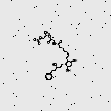 CC(CO[N+](=O)[O-])OC(=O)CNC(=O)CCC/C=C\C[C@@H]1[C@@H](CC[C@@H](O)CCc2ccccc2)[C@H](O)C[C@@H]1O